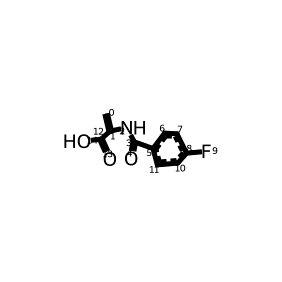 C=C(NC(=O)c1ccc(F)cc1)C(=O)O